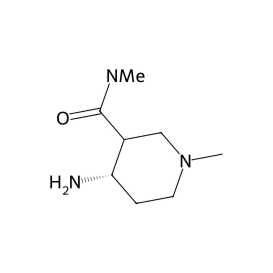 CNC(=O)C1CN(C)CC[C@@H]1N